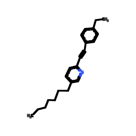 CCCCCCCc1ccc(C#Cc2ccc(CC)cc2)nc1